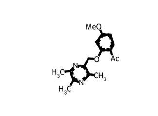 COc1ccc(C(C)=O)c(OCc2nc(C)c(C)nc2C)c1